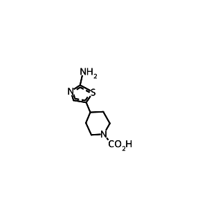 Nc1ncc(C2CCN(C(=O)O)CC2)s1